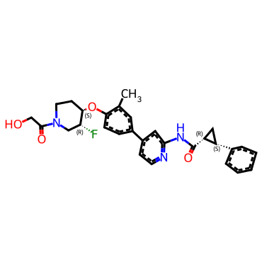 Cc1cc(-c2ccnc(NC(=O)[C@@H]3C[C@@H]3c3ccccc3)c2)ccc1O[C@H]1CCN(C(=O)CO)C[C@H]1F